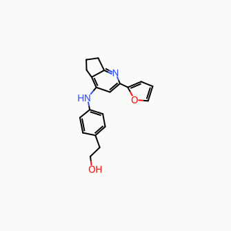 OCCc1ccc(Nc2cc(-c3ccco3)nc3c2CCC3)cc1